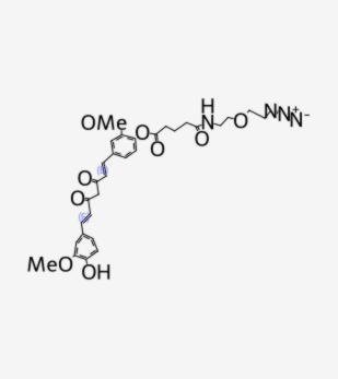 COc1cc(/C=C/C(=O)CC(=O)/C=C/c2ccc(OC(=O)CCCC(=O)NCCOCCN=[N+]=[N-])c(OC)c2)ccc1O